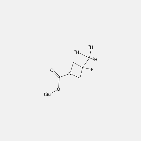 [2H]C([2H])([2H])C1(F)CN(C(=O)OC(C)(C)C)C1